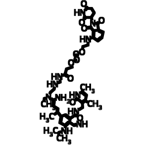 CCN(CCNCNC(=O)CCOOOOCCNc1cccc2c1C(=O)N(C1CCC(=O)NC1=O)C2=O)/C(N)=C/C=C(\C)c1cc(NC(C)C)c(C=N)c(C(=O)NCc2c(C)cc(C)[nH]c2=O)c1